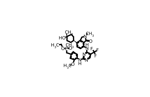 CCOP(C)(=O)Cc1ccc(Nc2ncc(C(F)(F)F)c(Nc3ccc([C@H]4CC[C@](C)(O)CC4)c4c3C(=O)N(C)C4)n2)c(OC)c1